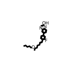 CCCCCOC(C)CCCC=Cc1ccc(-c2ccc3nc(O)cnc3c2)cc1F